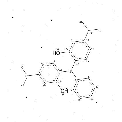 CC(C)c1ccc(C(c2ccccc2)c2ccc(C(C)C)cc2O)c(O)c1